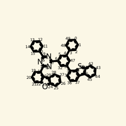 c1ccc(-c2cc(-c3nc(-c4ccccc4)nc(-c4cccc5oc6ccccc6c45)n3)cc(-c3cccc4c3sc3ccccc34)c2)cc1